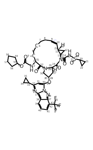 O=C(N[C@H]1CCCCC/C=C\[C@@H]2C[C@@]2(C(=O)NS(=O)(=O)C2CC2)NC(=O)[C@@H]2C[C@@H](Oc3cc(C4CC4)nc4c5cccc(C(F)(F)F)c5nn34)CN2C1=O)OC1CCCC1